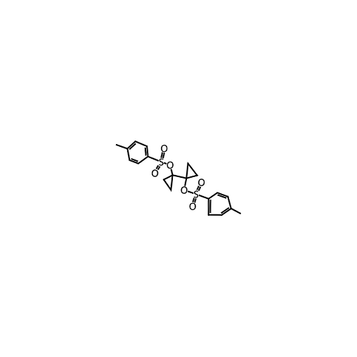 Cc1ccc(S(=O)(=O)OC2(C3(OS(=O)(=O)c4ccc(C)cc4)CC3)CC2)cc1